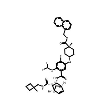 CC1(CNC(=O)[C@@H]2[C@H](NC(=O)c3cc(O[C@H]4CC[C@@](C)(C(=O)OCc5cccc6ccccc56)CC4)c(F)cc3OC(F)F)[C@H]3C=C[C@@H]2C3)CCC1